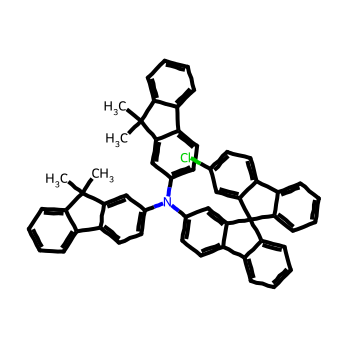 CC1(C)c2ccccc2-c2ccc(N(c3ccc4c(c3)C(C)(C)c3ccccc3-4)c3ccc4c(c3)C3(c5ccccc5-c5ccc(Cl)cc53)c3ccccc3-4)cc21